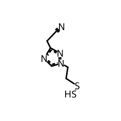 N#CCc1ncn(CCSS)n1